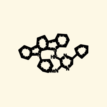 CNc1ncc(-c2ccccc2)nc1Nn1c2ccccc2c2ccc3c4ccccc4n(-c4ccccc4)c3c21